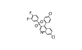 O=S(=O)(c1ccc(F)c(F)c1)c1cnc2cc(Cl)ccc2c1-c1ccc(Cl)cc1